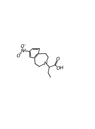 CCC(C(=O)O)N1CCc2ccc([N+](=O)[O-])cc2CC1